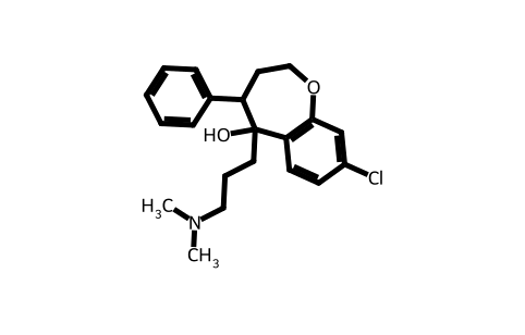 CN(C)CCCC1(O)c2ccc(Cl)cc2OCCC1c1ccccc1